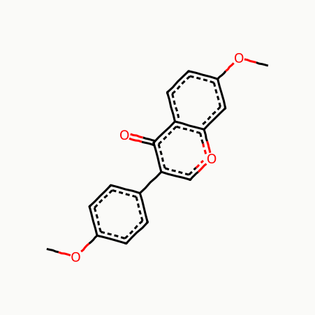 COc1ccc(-c2coc3cc(OC)ccc3c2=O)cc1